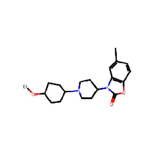 CCOC1CCC(N2CCC(n3c(=O)oc4ccc(C)cc43)CC2)CC1